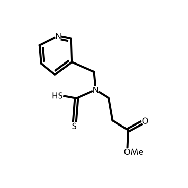 COC(=O)CCN(Cc1cccnc1)C(=S)S